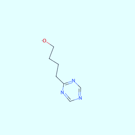 [O]CCCCc1ncncn1